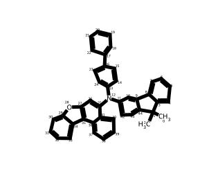 CC1(C)c2ccccc2-c2cc(N(c3ccc(-c4ccccc4)cc3)c3cc4oc5ccccc5c4c4ccccc34)ccc21